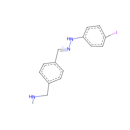 CNCc1ccc(/C=N/Nc2ccc(I)cc2)cc1